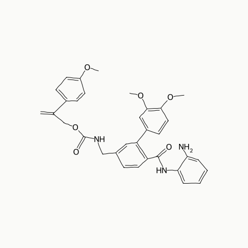 C=C(COC(=O)NCc1ccc(C(=O)Nc2ccccc2N)c(-c2ccc(OC)c(OC)c2)c1)c1ccc(OC)cc1